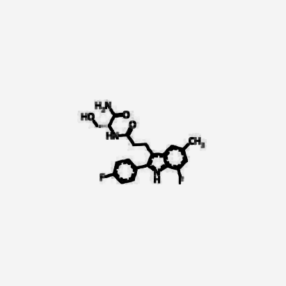 Cc1cc(F)c2[nH]c(-c3ccc(F)cc3)c(CCC(=O)N[C@H](CO)C(N)=O)c2c1